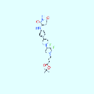 CC(C)(C)OC(=O)CCCN1CCC(N2CCC(c3ccc(NC4CCC(=O)NC4=O)cc3)CC2)C(F)(F)C1